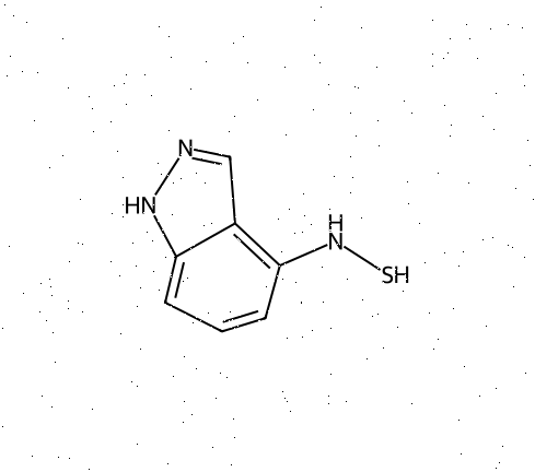 SNc1cccc2[nH]ncc12